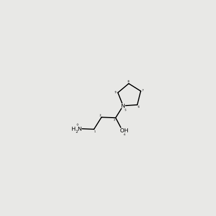 NCCC(O)N1CCCC1